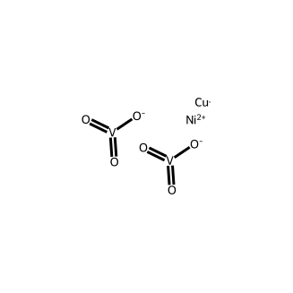 [Cu].[Ni+2].[O]=[V](=[O])[O-].[O]=[V](=[O])[O-]